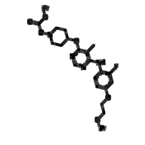 Cc1c(Nc2ccc(OCCOC(C)C)cc2F)ncnc1OC1CCN(OC(=O)OC(C)C)CC1